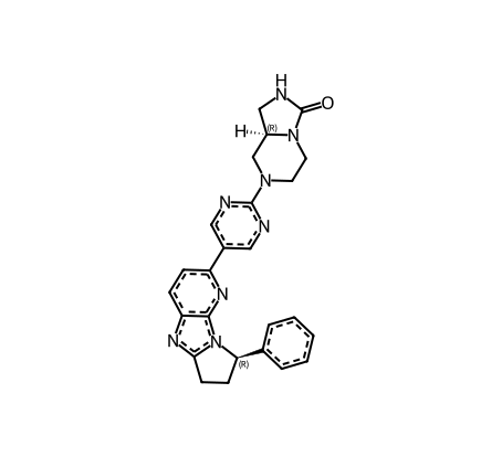 O=C1NC[C@@H]2CN(c3ncc(-c4ccc5nc6n(c5n4)[C@@H](c4ccccc4)CC6)cn3)CCN12